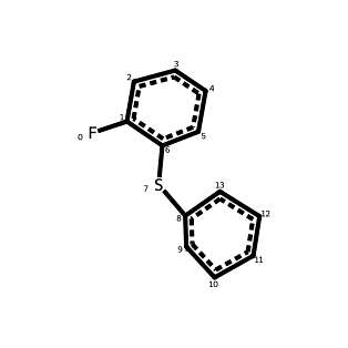 Fc1ccccc1Sc1[c]cccc1